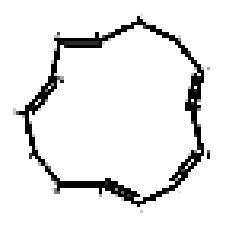 [C]1=C/CC/C=C/C=C\C=C\CC/C=C/1